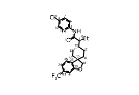 CC[C@H](C(=O)Nc1ccc(Cl)cn1)[C@H]1CC[C@@]2(CC1)COc1cc(C(F)(F)F)ccc12